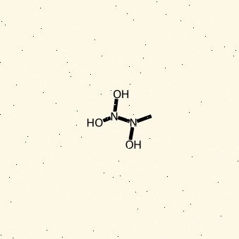 CN(O)N(O)O